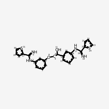 N=C(Nc1cccc(OCC(O)c2cccc(NC(=N)c3cccs3)c2)c1)c1cccs1